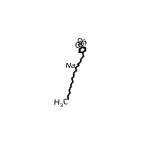 CCCCCCCCCCCCCCCCCCc1ccc(S(=O)(=O)[O-])cc1.[Na+]